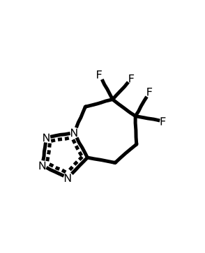 FC1(F)CCc2nnnn2CC1(F)F